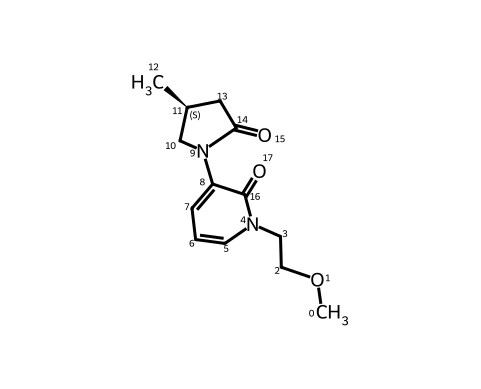 COCCn1cccc(N2C[C@@H](C)CC2=O)c1=O